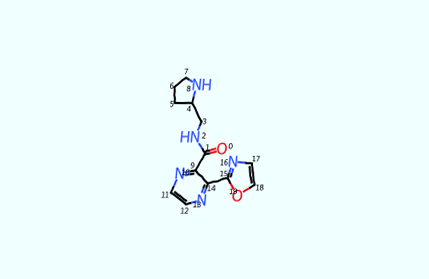 O=C(NCC1CCCN1)c1nccnc1-c1ncco1